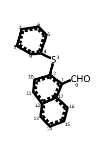 O=Cc1c(Sc2ccccc2)ccc2ccccc12